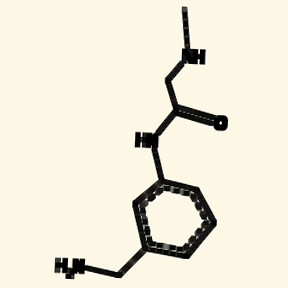 CNCC(=O)Nc1cccc(CN)c1